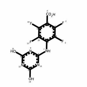 O=C(O)c1c(F)c(F)c(Nc2nc(O)nc(O)n2)c(F)c1F